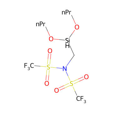 CCCO[SiH](CN(S(=O)(=O)C(F)(F)F)S(=O)(=O)C(F)(F)F)OCCC